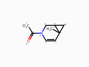 CC12C=CN(C(=O)C(Cl)(Cl)Cl)CC1C2